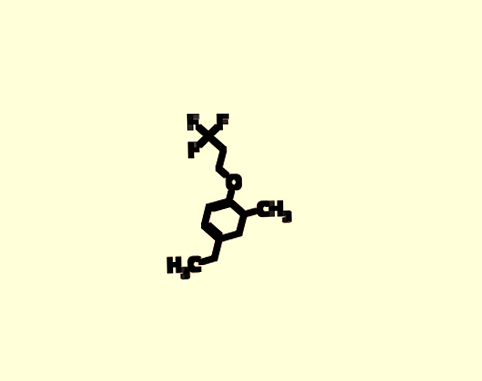 CCC1=CC=C(OCCC(F)(F)F)C(C)C1